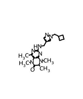 Cc1nc(NCc2cnn(CC3CCC3)c2)nc2c1N(C)C(=O)C(C)N2C